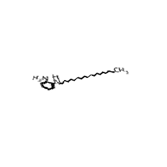 CCCCCCCCCCCCCCCCCCNc1ccccc1N